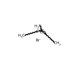 CCCCCCCCCCCCOCC[N+](C)(CCCN)CCOCCCCCCCCCCCC.[Br-]